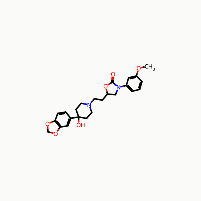 COc1cccc(N2CC(CCN3CCC(O)(c4ccc5c(c4)OCO5)CC3)OC2=O)c1